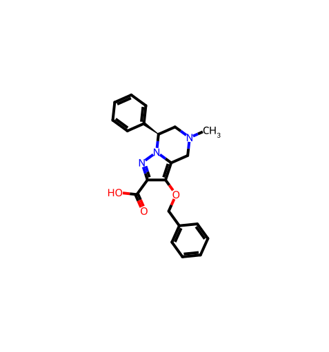 CN1Cc2c(OCc3ccccc3)c(C(=O)O)nn2[C@@H](c2ccccc2)C1